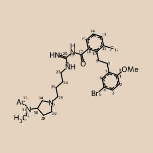 COc1ccc(Br)cc1CCc1c(F)cccc1C(=O)NC(=N)NCCCCN1CCC(N(C)C(C)=O)C1